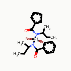 CCC(C)[N](C(=O)c1ccccc1)[Hf]([Br])([Br])[N](C(=O)c1ccccc1)C(C)CC